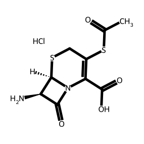 CC(=O)SC1=C(C(=O)O)N2C(=O)[C@@H](N)[C@H]2SC1.Cl